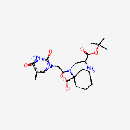 Cc1cn(CC(=O)N(CC(N)C(=O)OC(C)(C)C)C2(C(=O)O)CCCCC2)c(=O)[nH]c1=O